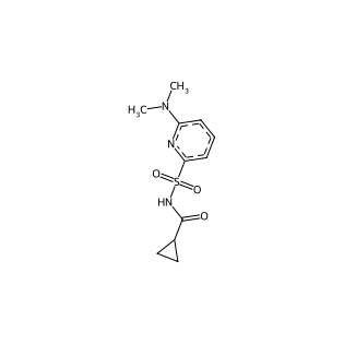 CN(C)c1cccc(S(=O)(=O)NC(=O)C2CC2)n1